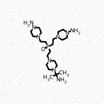 CC(C)(N)N1CCN(CCP(=O)(CCN2CCN(N)CC2)CCN2CCN(N)CC2)CC1